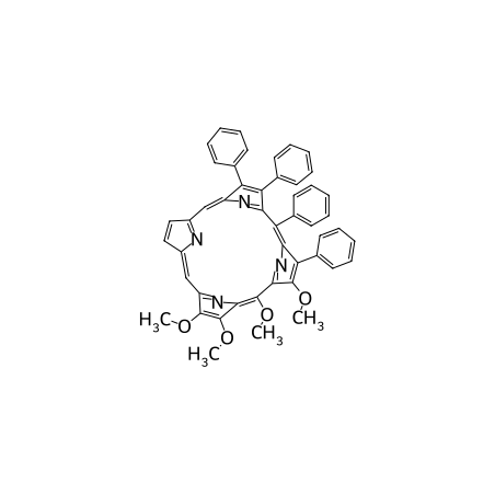 COC1=C2N=C(C=C3C=CC(=N3)C=C3N=C(C(c4ccccc4)=C4N=C1C(OC)=C4c1ccccc1)C(c1ccccc1)=C3c1ccccc1)C(OC)=C2OC